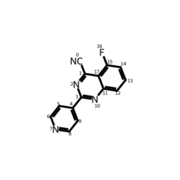 N#Cc1nc(-c2ccncc2)nc2cccc(F)c12